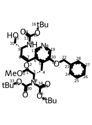 COC(=O)[C@H](Cc1c(/C=C\[C@H](CO)NC(=O)OC(C)(C)C)cncc1OCc1ccccc1)N(C(=O)OC(C)(C)C)C(=O)OC(C)(C)C